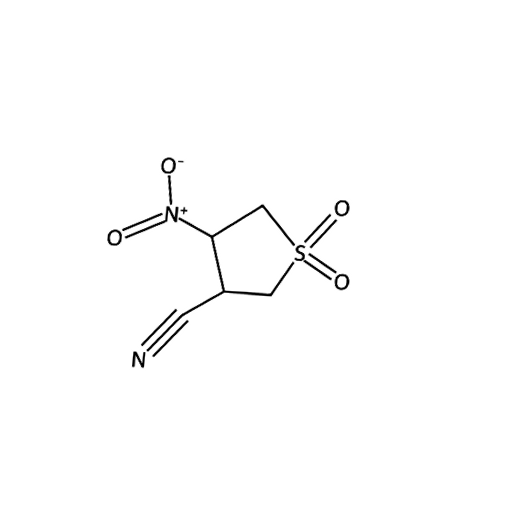 N#CC1CS(=O)(=O)CC1[N+](=O)[O-]